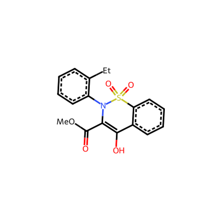 CCc1ccccc1N1C(C(=O)OC)=C(O)c2ccccc2S1(=O)=O